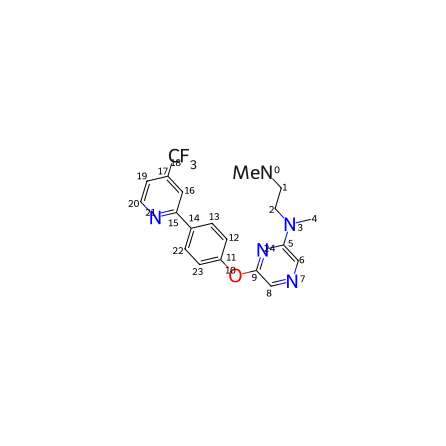 CNCCN(C)c1cncc(Oc2ccc(-c3cc(C(F)(F)F)ccn3)cc2)n1